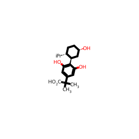 CC(C)[C@@H]1CC[C@H](O)C[C@H]1c1c(O)cc(C(C)(C)C(=O)O)cc1O